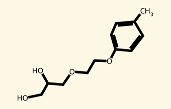 Cc1ccc(OCCOCC(O)CO)cc1